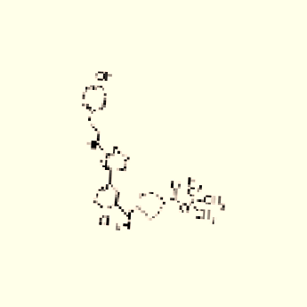 CC1CC=C(c2ccnc(NCCc3ccc(O)cc3)n2)C=C1NC1CCN(C(=O)OC(C)(C)C)CC1